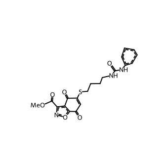 COC(=O)c1noc2c1C(=O)C(SCCCCNC(=O)Nc1ccccc1)=CC2=O